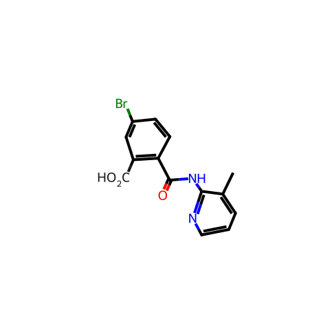 Cc1cccnc1NC(=O)c1ccc(Br)cc1C(=O)O